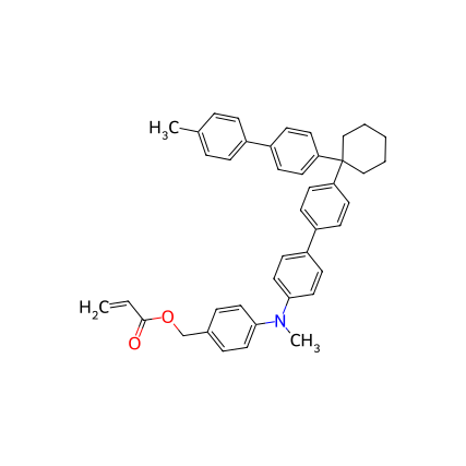 C=CC(=O)OCc1ccc(N(C)c2ccc(-c3ccc(C4(c5ccc(-c6ccc(C)cc6)cc5)CCCCC4)cc3)cc2)cc1